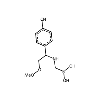 COOCC(NCB(O)O)c1ccc(C#N)cc1